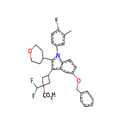 Cc1cc(-n2c(C3CCOCC3)c(C3CC(C(=O)O)(C(F)F)C3)c3cc(OCc4ccccc4)ccc32)ccc1F